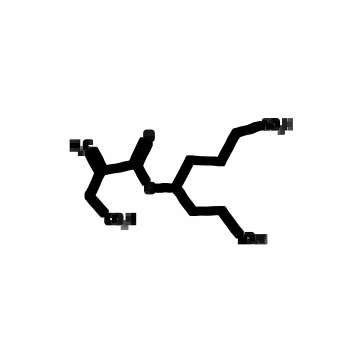 C=C(CC(=O)O)C(=O)OC(CCCCCCCCCCCC)CCCS(=O)(=O)O